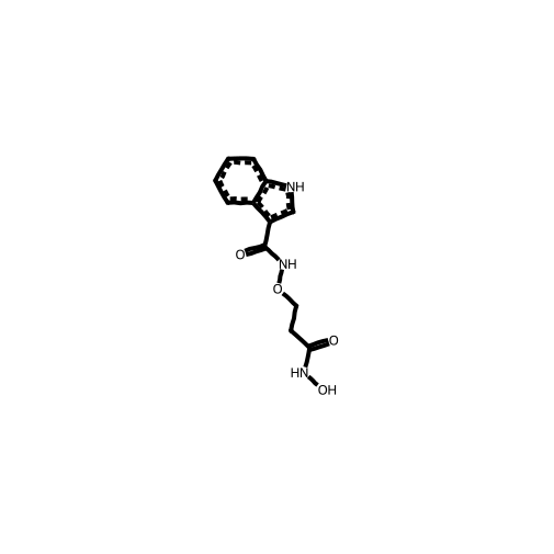 O=C(CCONC(=O)c1c[nH]c2ccccc12)NO